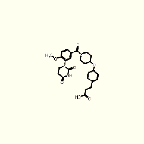 COc1ccc(C(=O)N2CCC(OC3CCN(CCC(=O)O)CC3)CC2)cc1N1CCC(=O)NC1=O